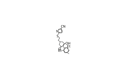 CCc1cc(C)cc(CC)c1C1=C(O)CC(CCSc2ccc(C#N)cn2)CC1=O